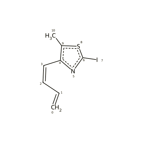 C=C/C=C\c1nc(I)sc1C